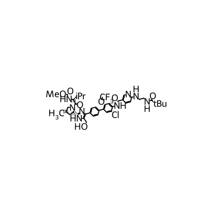 COC(=O)N[C@H](C(=O)N1C[C@@H](C)C[C@H]1c1nc(-c2ccc(-c3cc(Cl)c(NC(=O)c4ccc(NCCNC(=O)C(C)(C)C)nc4)cc3OC(F)(F)F)cc2)c(CO)[nH]1)C(C)C